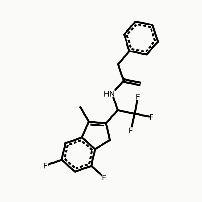 C=C(Cc1ccccc1)NC(C1=C(C)c2cc(F)cc(F)c2C1)C(F)(F)F